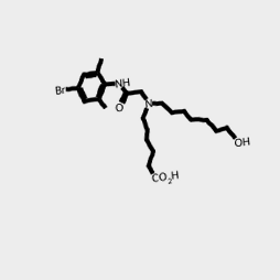 Cc1cc(Br)cc(C)c1NC(=O)CN(CCCCCCCO)CCCCCC(=O)O